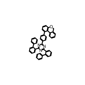 c1ccc(-c2ccccc2-c2nc(-c3ccc(-c4cccc5c4-c4ccccc4CO5)cc3)nc(-c3ccccc3-c3ccccc3)n2)cc1